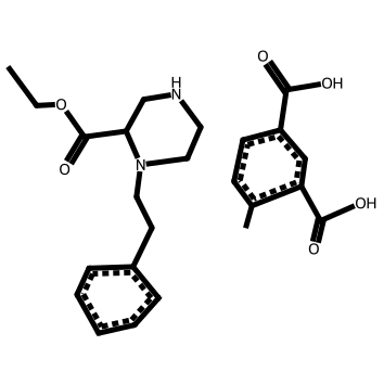 CCOC(=O)C1CNCCN1CCc1ccccc1.Cc1ccc(C(=O)O)cc1C(=O)O